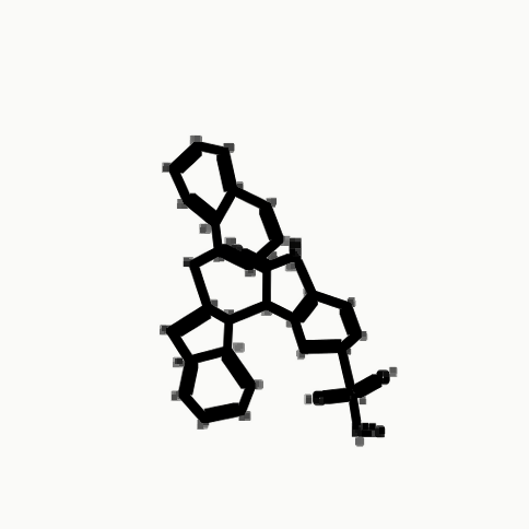 CNS(=O)(=O)c1ccc2c(c1)C(C1C(Cc3cccc4ccccc34)=Cc3ccccc31)C(=O)N2